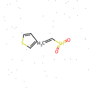 C=C[SH](=O)=O.c1ccsc1